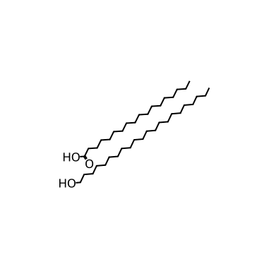 CCCCCCCCCCCCCCCCCC(=O)O.CCCCCCCCCCCCCCCCCCCCCCO